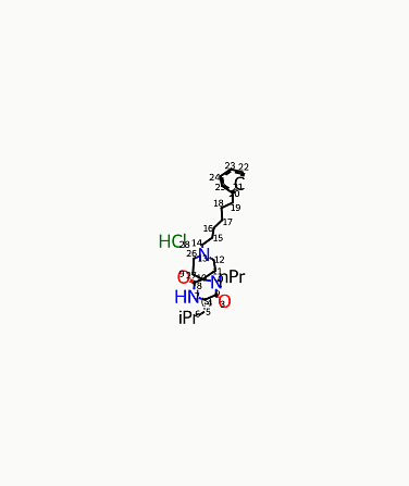 CCCN1C(=O)[C@H](CC(C)C)NC(=O)C12CCN(CCCCCCc1ccccc1)CC2.Cl